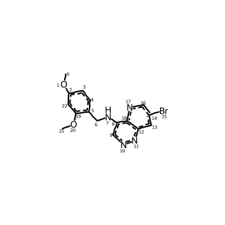 COc1ccc(CNc2cnnc3cc(Br)cnc23)c(OC)c1